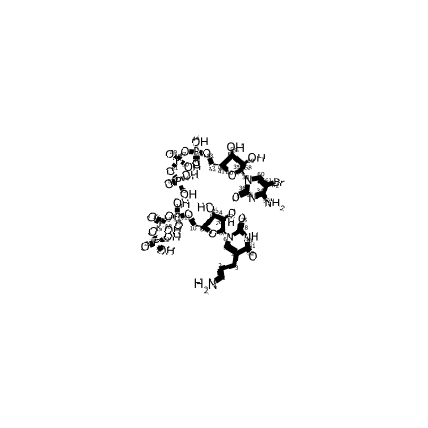 NC=CCc1cn([C@@H]2O[C@H](COP(=O)(O)OP(=O)(O)OP(=O)(O)O)[C@@H](O)[C@H]2O)c(=O)[nH]c1=O.Nc1nc(=O)n([C@@H]2O[C@H](COP(=O)(O)OP(=O)(O)OP(=O)(O)O)[C@@H](O)[C@H]2O)cc1Br